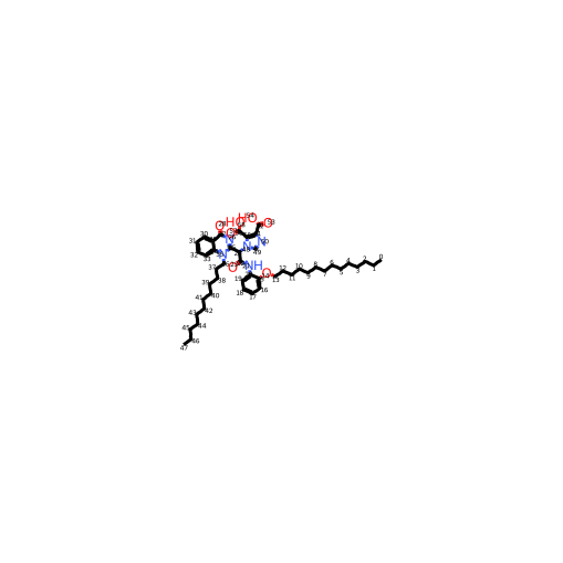 CCCCCCCCCCCCCCOc1ccccc1NC(=O)C(c1nc(=O)c2ccccc2n1CCCCCCCCCCCC)n1cnc(C(=O)O)c1C(=O)O